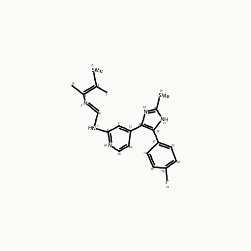 CSC(C)=C(C)N=CNc1cc(-c2nc(SC)[nH]c2-c2ccc(F)cc2)ccn1